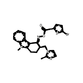 Cc1nccn1CC1CCc2c(c3ccccc3n2C)C1=NOC(=O)c1ccc(Br)s1